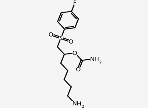 NCCCCCC(CS(=O)(=O)c1ccc(F)cc1)OC(N)=O